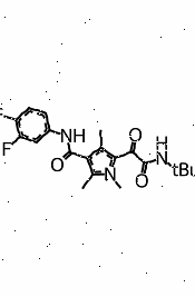 Cc1c(C(=O)Nc2ccc(F)c(F)c2)c(C)n(C)c1C(=O)C(=O)NC(C)(C)C